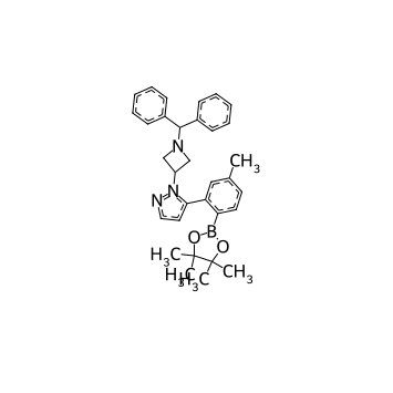 Cc1ccc(B2OC(C)(C)C(C)(C)O2)c(-c2ccnn2C2CN(C(c3ccccc3)c3ccccc3)C2)c1